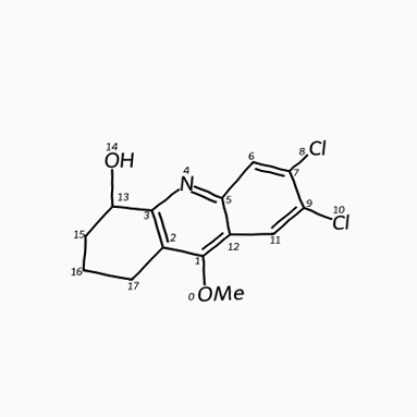 COc1c2c(nc3cc(Cl)c(Cl)cc13)C(O)CCC2